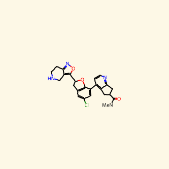 CNC(=O)C1Cc2nccc(-c3cc(Cl)cc4c3OC(c3onc5c3CNCC5)C4)c2C1